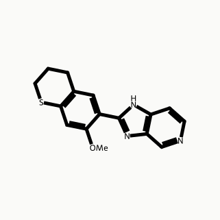 COc1cc2c(cc1-c1nc3cnccc3[nH]1)CCCS2